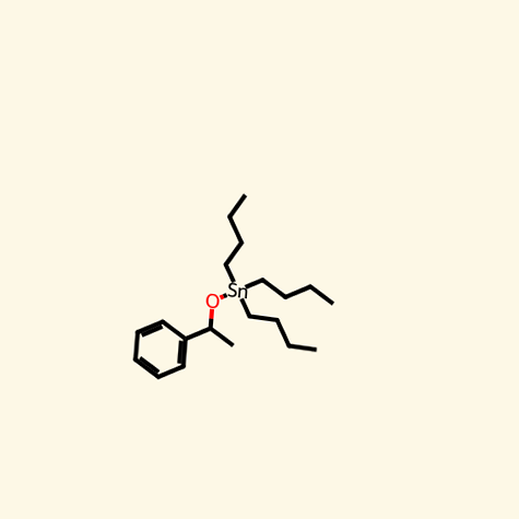 CCC[CH2][Sn]([CH2]CCC)([CH2]CCC)[O]C(C)c1ccccc1